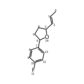 C/C=C/C1CCC(c2ccc(F)cc2)O1